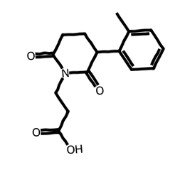 Cc1ccccc1C1CCC(=O)N(CCC(=O)O)C1=O